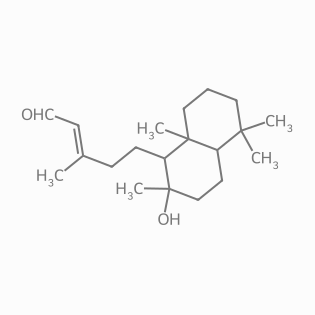 CC(=CC=O)CCC1C(C)(O)CCC2C(C)(C)CCCC21C